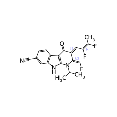 C\C(F)=C(F)/C=c1/c(=O)c2c3ccc(C#N)cc3[nH]c2n(C(C)C)/c1=C\F